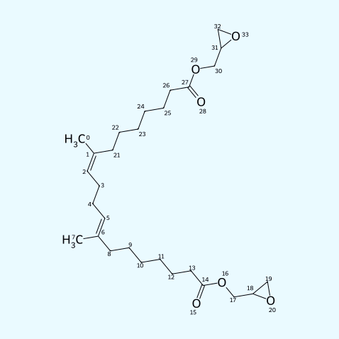 CC(=CCCC=C(C)CCCCCCC(=O)OCC1CO1)CCCCCCC(=O)OCC1CO1